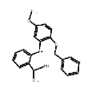 COc1ccc(OCc2ccccc2)c(Pc2ccccc2C(C)O)c1